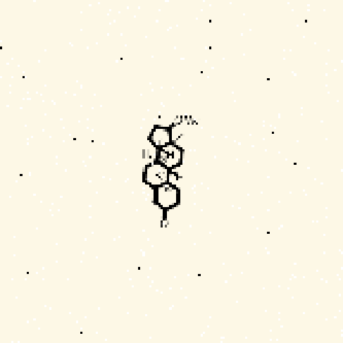 COC1CC[C@H]2[C@@H]3CCC4=CC(=O)CC[C@]4(C)[C@H]3CC[C@]12C